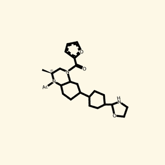 CC(=O)N1C2CCC(C3CCC(C4NCCO4)CC3)CC2N(C(=O)c2ccco2)C[C@@H]1C